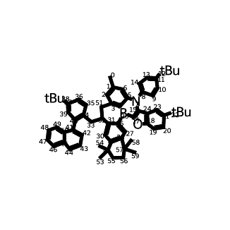 Cc1cc2c3c(c1)N(c1ccc(C(C)(C)C)cc1)c1c(oc4ccc(C(C)(C)C)cc14)B3c1cc3c(cc1C(Cc1ccc(C(C)(C)C)cc1-c1cccc4ccccc14)C2)C(C)(C)CCC3(C)C